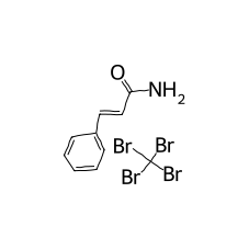 BrC(Br)(Br)Br.NC(=O)C=Cc1ccccc1